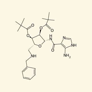 CC(C)(C)C(=O)O[C@@H]1[C@H](OC(=O)C(C)(C)C)[C@@H](CNCc2ccccc2)O[C@H]1NC(=O)c1nc[nH]c1N